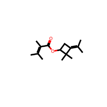 CC(C)=C(C)C(=O)OC1CC(=C(C)C)C1(C)C